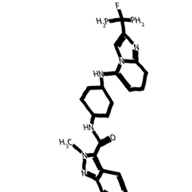 Cn1nc2ccccc2c1C(=O)NC1CCC(NC2=CCCc3nc(C(F)(P)P)cn32)CC1